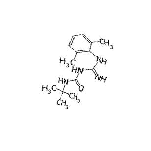 Cc1cccc(C)c1NC(=N)NC(=O)NC(C)(C)C